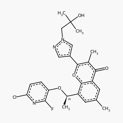 Cc1cc([C@@H](C)Oc2ccc(Cl)nc2F)c2oc(-c3cnn(CC(C)(C)O)c3)c(C)c(=O)c2c1